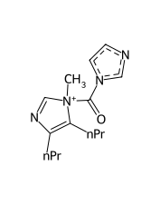 CCCC1=C(CCC)[N+](C)(C(=O)n2ccnc2)C=N1